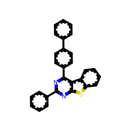 c1ccc(-c2ccc(-c3nc(-c4ccccc4)nc4sc5ccccc5c34)cc2)cc1